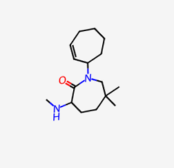 CNC1CCC(C)(C)CN(C2C=CCCCC2)C1=O